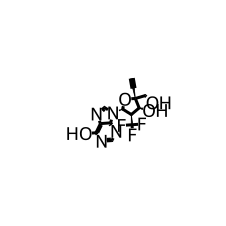 C#C[C@]1(CO)O[C@@H](n2cnc3c(O)ncnc32)[C@H](C(F)(F)F)[C@@H]1O